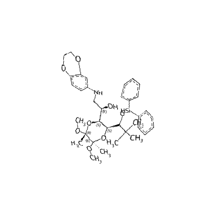 CO[C@]1(C)O[C@@H]([C@H](O)CNc2ccc3c(c2)OCCO3)[C@@H](C(O[SiH](c2ccccc2)c2ccccc2)C(C)(C)C)O[C@@]1(C)OC